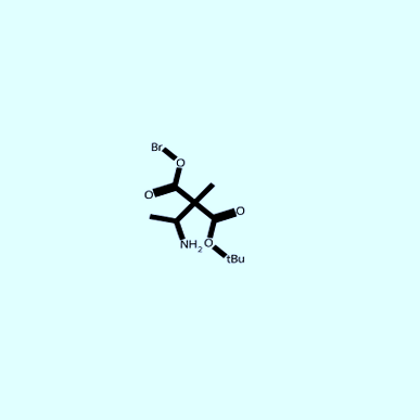 CC(N)C(C)(C(=O)OBr)C(=O)OC(C)(C)C